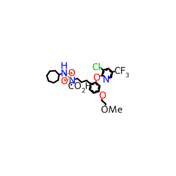 COCCOc1ccc(CCCN(C(=O)O)S(=O)(=O)NC2CCCCCC2)c(Oc2ncc(C(F)(F)F)cc2Cl)c1